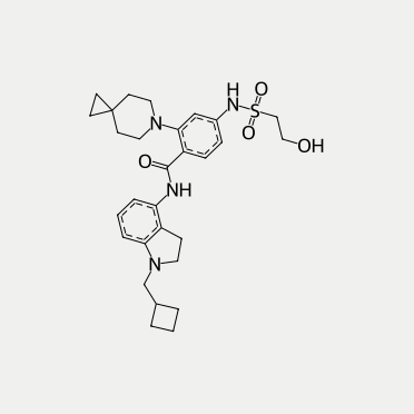 O=C(Nc1cccc2c1CCN2CC1CCC1)c1ccc(NS(=O)(=O)CCO)cc1N1CCC2(CC1)CC2